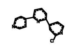 Clc1cc(-c2cccc(-c3ccncc3)n2)ccn1